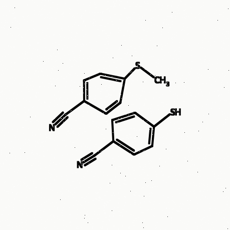 CSc1ccc(C#N)cc1.N#Cc1ccc(S)cc1